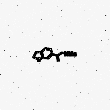 C=C(CNC)c1ccc2c(c1)SCC2